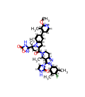 CC[C@](C)(c1noc(=O)[nH]1)n1c(C(=O)N2CCc3nn(-c4cc(C)c(F)c(C)c4)c(-n4cc[nH]c4=O)c3[C@@H]2C)cc2cc(-c3ccnc(OC)c3C)ccc21